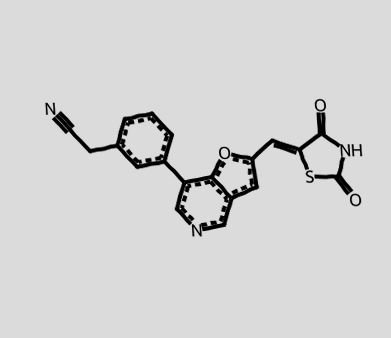 N#CCc1cccc(-c2cncc3cc(/C=C4\SC(=O)NC4=O)oc23)c1